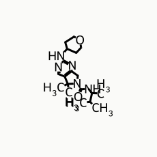 CC(C)C(C)NC(=O)N1Cc2nc(NC3CCOCC3)ncc2C1(C)C